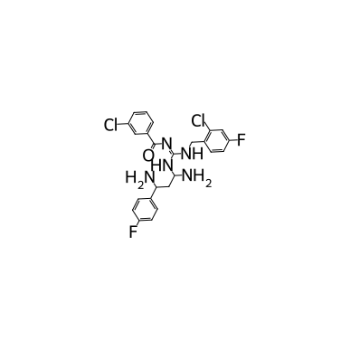 NC(CC(N)c1ccc(F)cc1)N/C(=N\C(=O)c1cccc(Cl)c1)NCc1ccc(F)cc1Cl